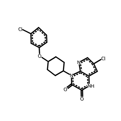 O=c1[nH]c2cc(Cl)cnc2n(C2CCC(Oc3cccc(Cl)c3)CC2)c1=O